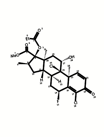 CCC(=O)O[C@]1(C(=O)OC)[C@H](C)C[C@H]2[C@@H]3C[C@H](F)C4=C(Cl)C(=O)C=C[C@]4(C)[C@@]3(Cl)[C@@H](O)C[C@@]21C